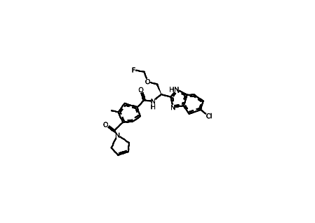 Cc1cc(C(=O)N[C@@H](COCF)c2nc3cc(Cl)ccc3[nH]2)ccc1C(=O)N1CC=CC1